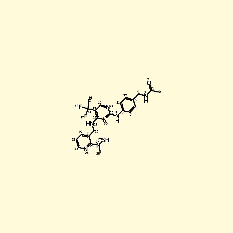 CC(=O)NCc1ccc(Nc2ncc(C(F)(F)F)c(NCc3cccnc3N(C)S)n2)cc1